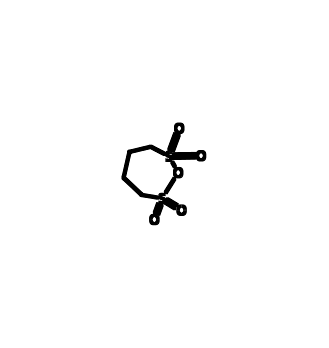 O=S1(=O)CCCCS(=O)(=O)O1